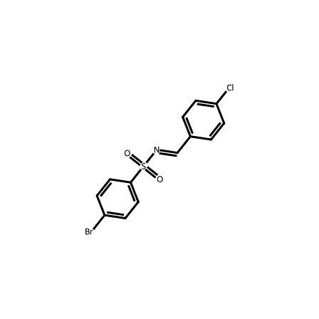 O=S(=O)(N=Cc1ccc(Cl)cc1)c1ccc(Br)cc1